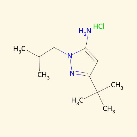 CC(C)Cn1nc(C(C)(C)C)cc1N.Cl